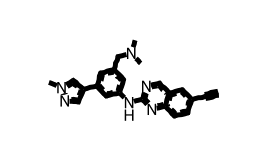 C#Cc1ccc2nc(Nc3cc(CN(C)C)cc(-c4cnn(C)c4)c3)ncc2c1